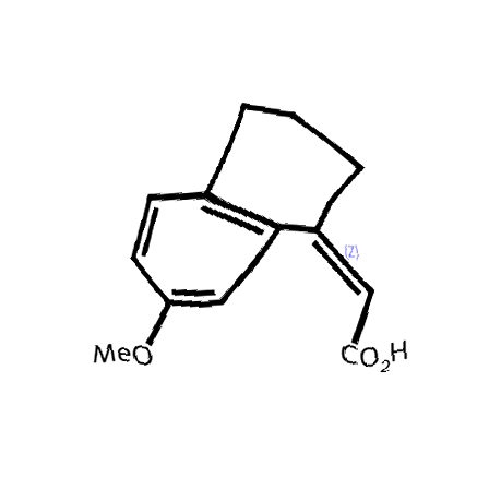 COc1ccc2c(c1)/C(=C\C(=O)O)CCC2